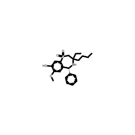 CCCCC1(CC)CS(=O)(=O)c2cc(O)c(OC)cc2[C@@H](c2ccccc2)N1